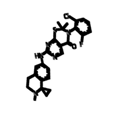 CN1CCc2cc(Nc3ncc4c(n3)SC(C)(C)N(c3c(F)cccc3Cl)C4=O)ccc2C12CC2